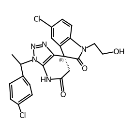 CC(c1ccc(Cl)cc1)n1nnc2c1NC(=O)C[C@]21C(=O)N(CCO)c2ccc(Cl)cc21